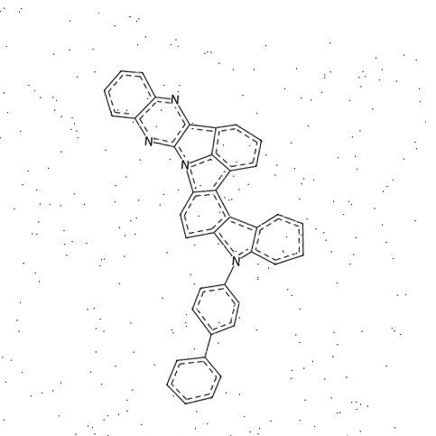 c1ccc(-c2ccc(-n3c4ccccc4c4c5c6cccc7c8nc9ccccc9nc8n(c5ccc43)c76)cc2)cc1